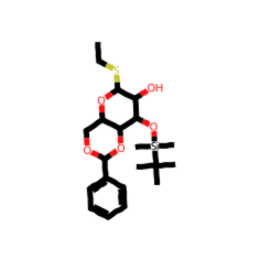 CCSC1OC2COC(c3ccccc3)OC2C(O[Si](C)(C)C(C)(C)C)C1O